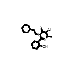 Cc1nc(-c2ccccc2O)n(CCC2CCCCC2)c(=O)c1Cl